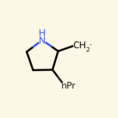 [CH2]C1NCCC1CCC